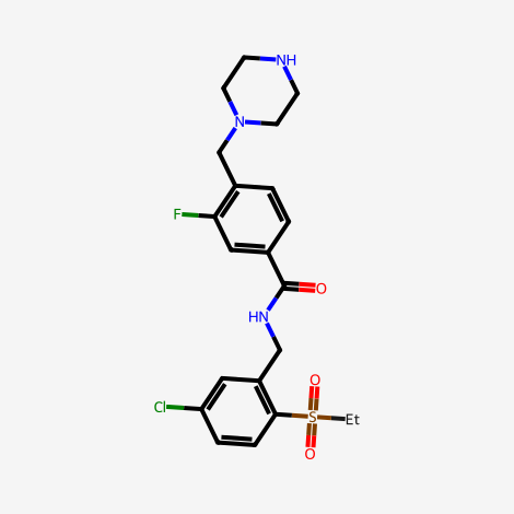 CCS(=O)(=O)c1ccc(Cl)cc1CNC(=O)c1ccc(CN2CCNCC2)c(F)c1